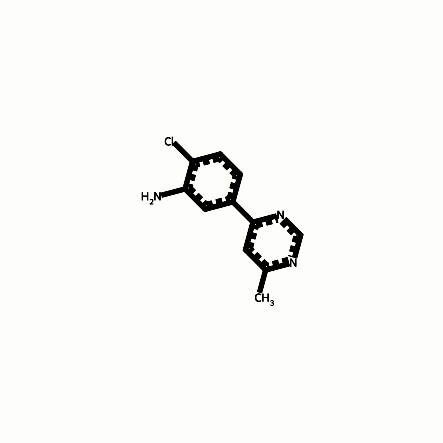 Cc1cc(-c2ccc(Cl)c(N)c2)ncn1